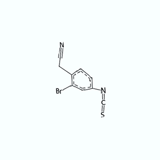 N#CCc1ccc(N=C=S)cc1Br